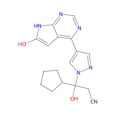 N#CCC(O)(C1CCCC1)n1cc(-c2ncnc3[nH]c(O)cc23)cn1